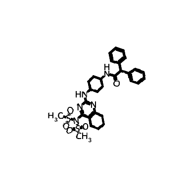 CS(=O)(=O)N(c1nc(NC2CCC(NC(=O)C(c3ccccc3)c3ccccc3)CC2)nc2c1CCCC2)S(C)(=O)=O